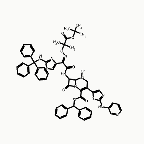 CC(C)(C)OC(=O)C(C)(C)O/N=C(/C(=O)NC1C(=O)N2C(C(=O)OC(c3ccccc3)c3ccccc3)=C(c3cnc(Nc4cccnc4)s3)C[S+]([O-])C12)c1csc(NC(c2ccccc2)(c2ccccc2)c2ccccc2)n1